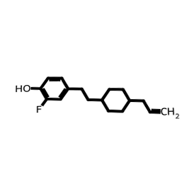 C=CCC1CCC(CCc2ccc(O)c(F)c2)CC1